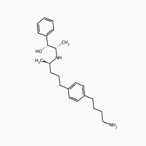 C[C@H](CCCc1ccc(CCCCN)cc1)N[C@@H](C)[C@H](O)c1ccccc1